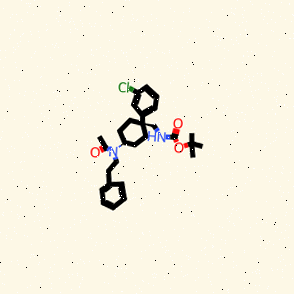 CC(=O)N(CCc1ccccc1)[C@H]1CC[C@@](CNC(=O)OC(C)(C)C)(c2cccc(Cl)c2)CC1